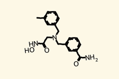 Cc1cccc(CN(CC(=O)NO)Cc2cccc(C(N)=O)c2)c1